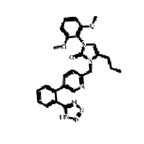 CCCc1cn(-c2c(OC)cccc2OC)c(=O)n1Cc1ccc(-c2ccccc2-c2nnn[nH]2)cn1